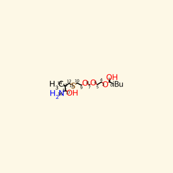 CCC(C)C(O)OCCOCOCCSCC(C)C(N)O